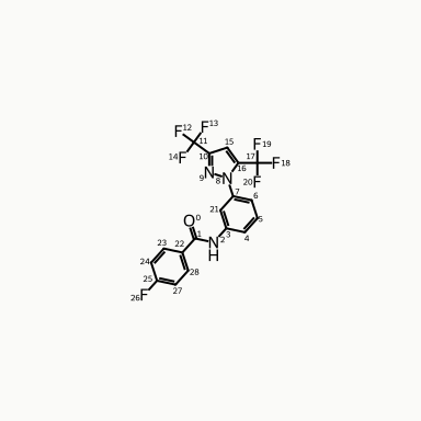 O=C(Nc1cccc(-n2nc(C(F)(F)F)cc2C(F)(F)F)c1)c1ccc(F)cc1